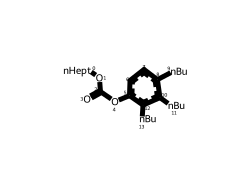 CCCCCCCOC(=O)Oc1ccc(CCCC)c(CCCC)c1CCCC